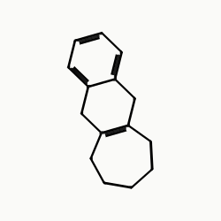 c1ccc2c(c1)CC1=C(CCCCC1)C2